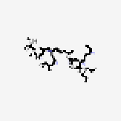 C=C(CC=C/C(=C/C(C)/C=N\N(C)CC(=O)NC)C/C=C\C(C)C=O)/N=C(/N)C/C(=C\C/C=C\C)C(=C)N(CCC)CCC